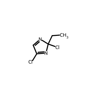 CCC1(Cl)N=CC(Cl)=N1